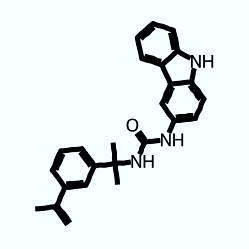 C=C(C)c1cccc(C(C)(C)NC(=O)Nc2ccc3[nH]c4ccccc4c3c2)c1